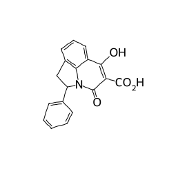 O=C(O)c1c(O)c2cccc3c2n(c1=O)C(c1ccccc1)C3